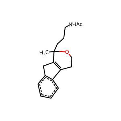 CC(=O)NCCCC1(C)OCCC2=C1Cc1ccccc12